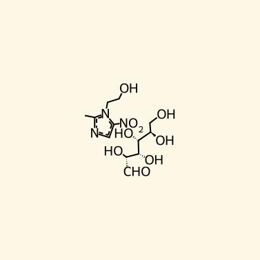 Cc1ncc([N+](=O)[O-])n1CCO.O=C[C@H](O)[C@@H](O)[C@H](O)[C@H](O)CO